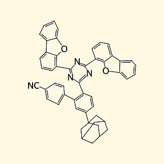 N#Cc1ccc(-c2cc(C34CC5CC(CC(C5)C3)C4)ccc2-c2nc(-c3cccc4c3oc3ccccc34)nc(-c3cccc4c3oc3ccccc34)n2)cc1